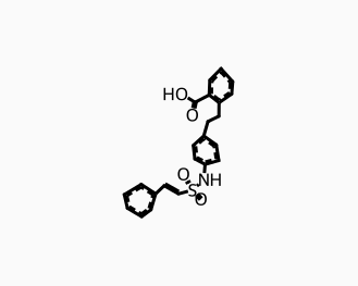 O=C(O)c1ccccc1CCc1ccc(NS(=O)(=O)C=Cc2ccccc2)cc1